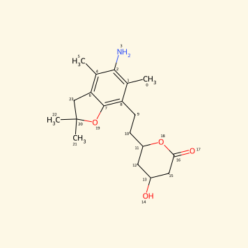 Cc1c(N)c(C)c2c(c1CCC1CC(O)CC(=O)O1)OC(C)(C)C2